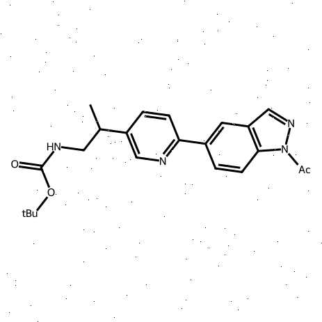 CC(=O)n1ncc2cc(-c3ccc(C(C)CNC(=O)OC(C)(C)C)cn3)ccc21